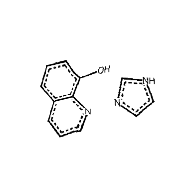 Oc1cccc2cccnc12.c1c[nH]cn1